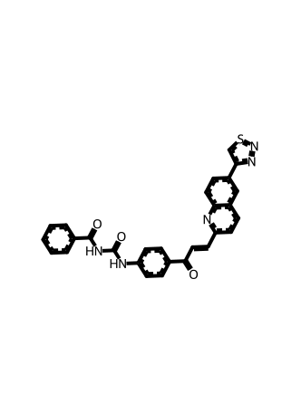 O=C(NC(=O)c1ccccc1)Nc1ccc(C(=O)C=Cc2ccc3cc(-c4csnn4)ccc3n2)cc1